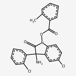 Cc1ccccc1C(=O)ON1C(=O)C(N)(c2ccccc2Cl)c2cc(Cl)ccc21